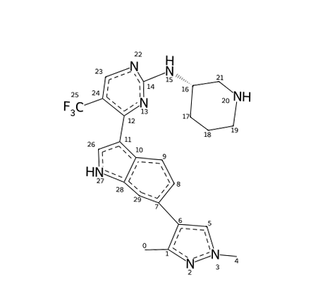 Cc1nn(C)cc1-c1ccc2c(-c3nc(N[C@H]4CCCNC4)ncc3C(F)(F)F)c[nH]c2c1